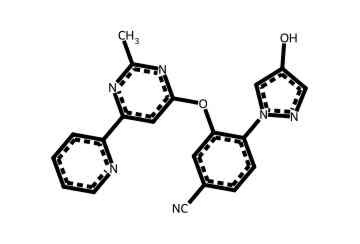 Cc1nc(Oc2cc(C#N)ccc2-n2cc(O)cn2)cc(-c2ccccn2)n1